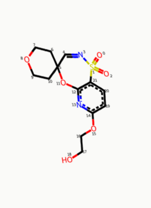 O=S1(=O)N=CC2(CCOCC2)Oc2nc(OCCO)ccc21